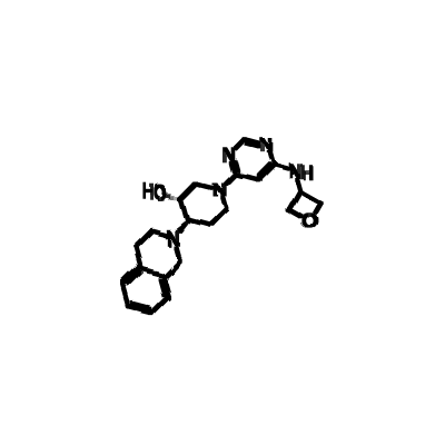 O[C@@H]1CN(c2cc(NC3COC3)ncn2)CC[C@H]1N1CCc2ccccc2C1